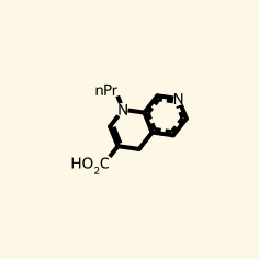 CCCN1C=C(C(=O)O)Cc2ccncc21